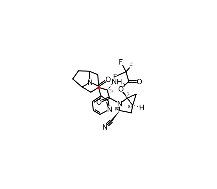 N#C[C@@H]1C[C@@H]2C[C@@]2(OC(=O)C(F)(F)F)N1C(=O)[C@@H](N)C1CC2CCC(C1)N2C(=O)c1cccnc1